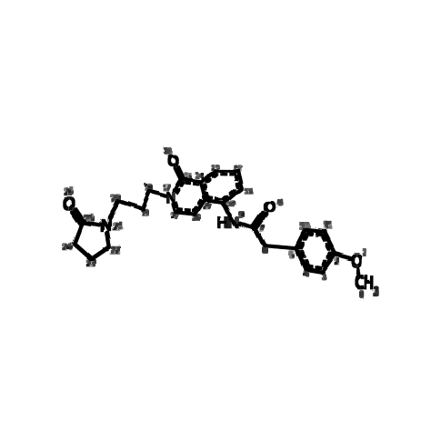 COc1ccc(CC(=O)Nc2cccc3c(=O)n(CCCN4CCCC4=O)ccc23)cc1